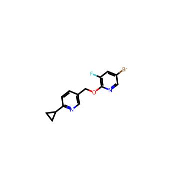 Fc1cc(Br)cnc1OCc1ccc(C2CC2)nc1